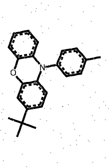 Cc1ccc(N2c3ccccc3Oc3cc(C(C)(C)C)ccc32)cc1